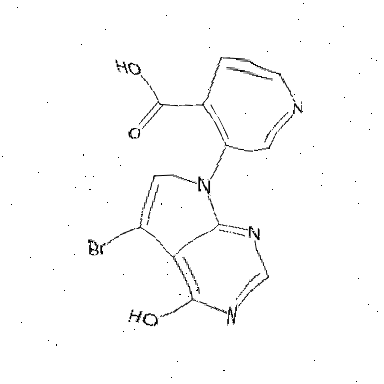 O=C(O)c1ccncc1-n1cc(Br)c2c(O)ncnc21